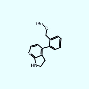 CC(C)(C)OCc1ccccc1-c1ccnc2c1CCN2